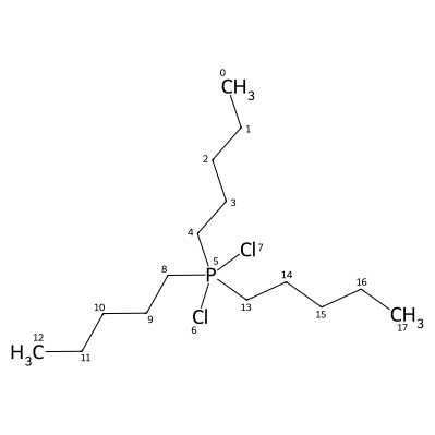 CCCCCP(Cl)(Cl)(CCCCC)CCCCC